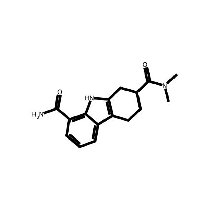 CN(C)C(=O)C1CCc2c([nH]c3c(C(N)=O)cccc23)C1